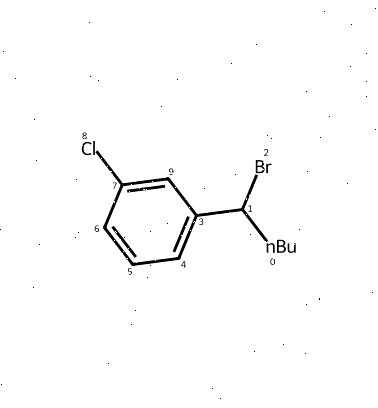 CCCCC(Br)c1cccc(Cl)c1